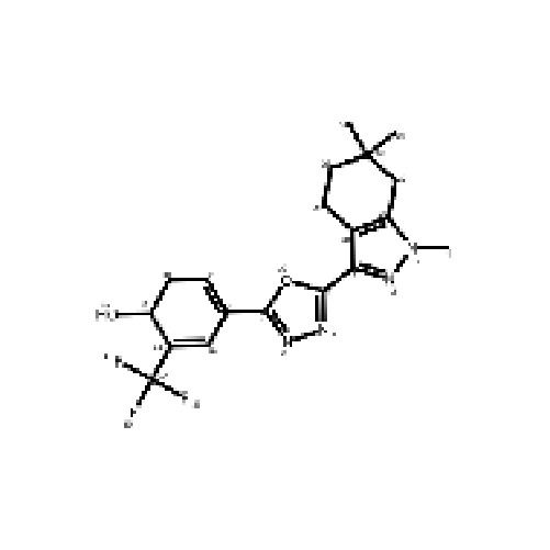 Cn1nc(-c2nnc(C3=CCC(O)C(C(F)(F)F)=C3)o2)c2c1CC(C)(C)CC2